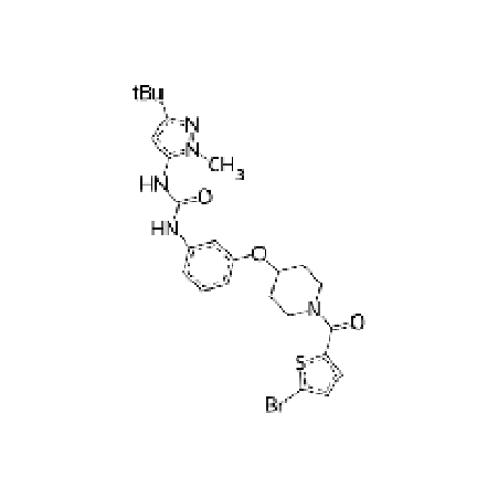 Cn1nc(C(C)(C)C)cc1NC(=O)Nc1cccc(OC2CCN(C(=O)c3ccc(Br)s3)CC2)c1